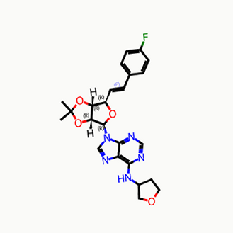 CC1(C)O[C@@H]2[C@H](O1)[C@@H](/C=C/c1ccc(F)cc1)O[C@H]2n1cnc2c(NC3CCOC3)ncnc21